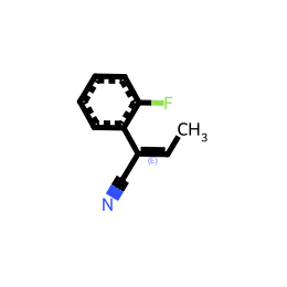 C/C=C(/C#N)c1ccccc1F